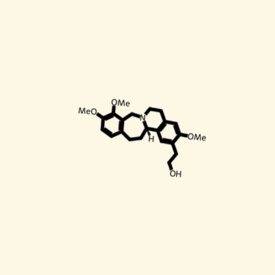 COc1cc2c(cc1CCO)[C@@H]1CCc3ccc(OC)c(OC)c3CN1CC2